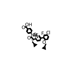 O=C(O)c1ccc(NC(=O)[C@@H](CC2CC2)c2ccc(-c3c(OCC4CC4)ccc(Cl)c3F)c[n+]2[O-])cc1